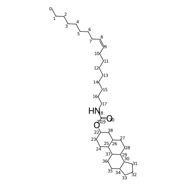 CCCCCCCC/C=C\CCCCCCCCNC(=O)OC1CCC2C(CCC3C4CCCC4CCC23)C1